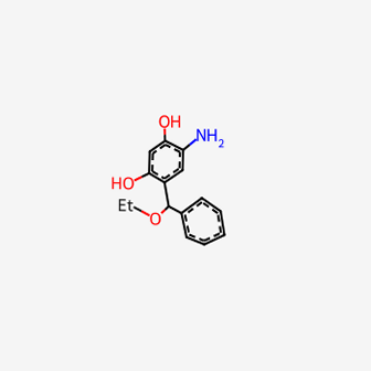 CCOC(c1ccccc1)c1cc(N)c(O)cc1O